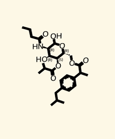 CCCC(=O)N[C@H]1C(O)O[C@H](COC(=O)C(C)c2ccc(CC(C)C)cc2)[C@@H](OC(=O)C(C)C)[C@@H]1O